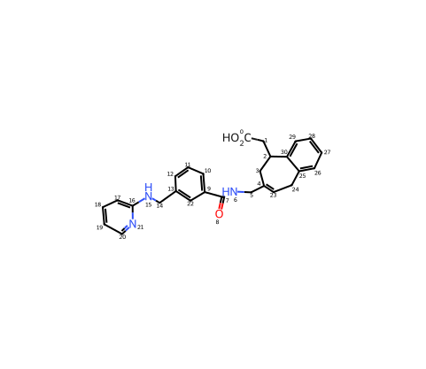 O=C(O)CC1CC(CNC(=O)c2cccc(CNc3ccccn3)c2)=CCc2ccccc21